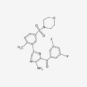 Cc1ccc(S(=O)(=O)N2CCOCC2)cc1-c1cnc(N)c(C(=O)c2cc(F)cc(F)c2)n1